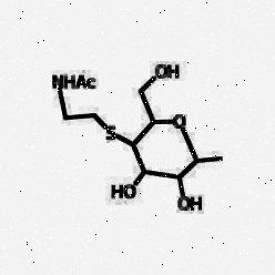 CC(=O)NCCSC1C(CO)OC(C)C(O)C1O